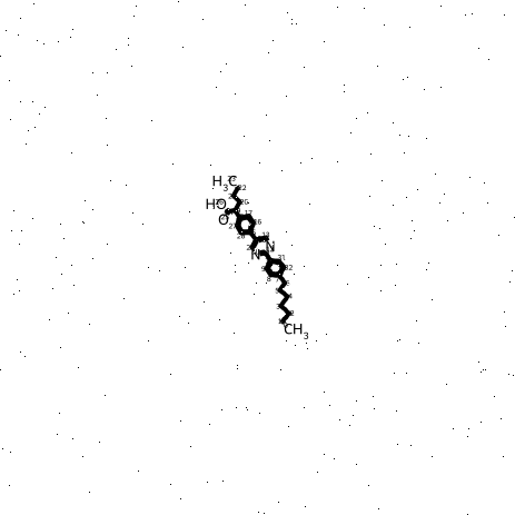 CCCCCCCc1ccc(-c2ncc(-c3ccc(C(CCCC)C(=O)O)cc3)cn2)cc1